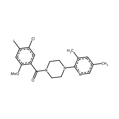 COc1cc(I)c(Cl)cc1C(=O)N1CCN(c2ncc(C)cc2C)CC1